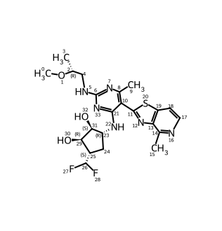 CO[C@H](C)CNc1nc(C)c(-c2nc3c(C)nccc3s2)c(N[C@@H]2C[C@H](C(F)F)[C@@H](O)[C@H]2O)n1